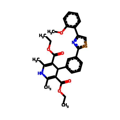 CCOC(=O)C1=C(C)NC(C)=C(C(=O)OCC)C1c1cccc(-c2nc(-c3ccccc3OC)cs2)c1